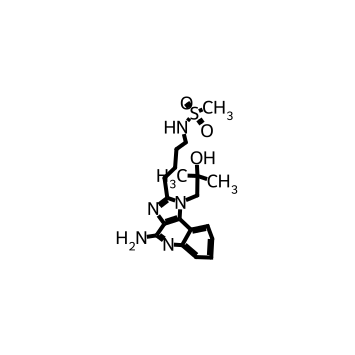 CC(C)(O)Cn1c(CCCCNS(C)(=O)=O)nc2c(N)nc3ccccc3c21